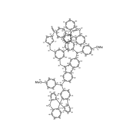 C=C[n+]1ccn(Cc2cc(Cn3cc[n+](C=C)c3)cc(Cn3c4cc(N(c5ccc(OC)cc5)c5ccc6c(c5)C5(c7ccccc7Oc7ccccc75)c5ccccc5-6)ccc4c4ccc(N(c5ccc(OC)cc5)c5ccc6c(c5)C5(c7ccccc7Oc7ccccc75)c5ccccc5-6)cc43)c2)c1